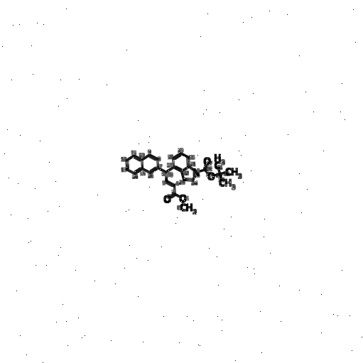 COC(=O)C=C[C@@H](c1ccc2ccccc2c1)c1cccc2c1ccn2C(=O)OC(C)(C)C